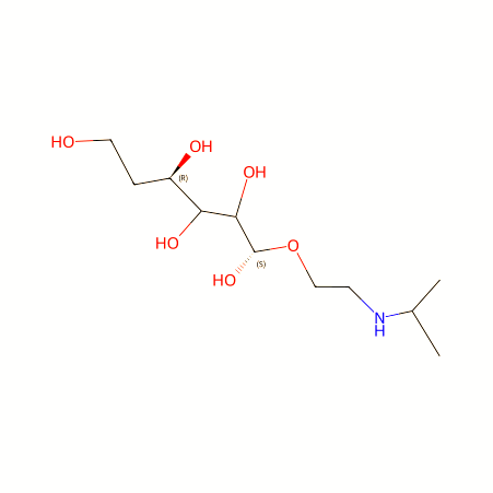 CC(C)NCCO[C@H](O)C(O)C(O)[C@H](O)CCO